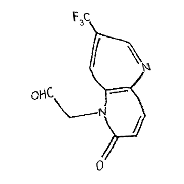 O=CCn1c(=O)ccc2ncc(C(F)(F)F)cc21